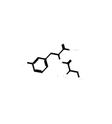 COC(=O)C(Cc1cccc(C(F)(F)F)c1)NC(=O)C(N)CC(C)C